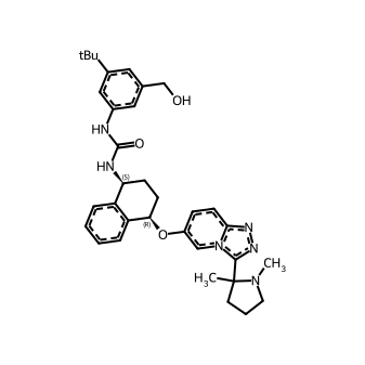 CN1CCCC1(C)c1nnc2ccc(O[C@@H]3CC[C@H](NC(=O)Nc4cc(CO)cc(C(C)(C)C)c4)c4ccccc43)cn12